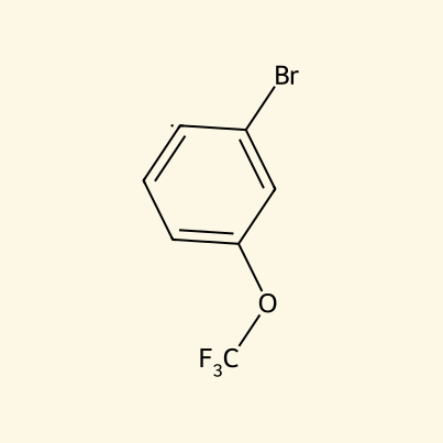 FC(F)(F)Oc1cc[c]c(Br)c1